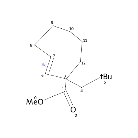 COC(=O)C1(CC(C)(C)C)/C=C/CCCCC1